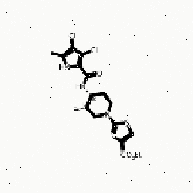 CCOC(=O)c1csc(N2CC[C@@H](NC(=O)c3[nH]c(C)c(Cl)c3Cl)[C@@H](F)C2)n1